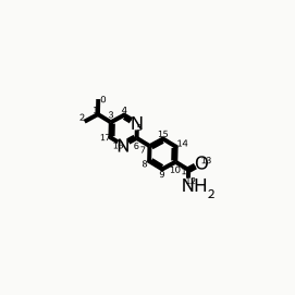 CC(C)c1cnc(-c2ccc(C(N)=O)cc2)nc1